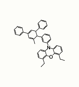 CCc1cccc2c1Oc1c(CC)cccc1N2c1cccc(C2C(C)=CC(c3ccccc3)=CC2c2ccccc2)c1